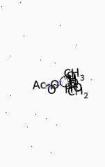 C=C1C(=O)O[C@H]2[C@H]1CC/C(COC(=O)/C=C/C(C)=O)=C\CC[C@@]1(C)O[C@@H]21